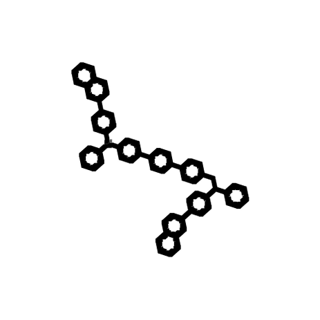 c1ccc(C(Cc2ccc(-c3ccc(-c4ccc(N(c5ccccc5)c5ccc(-c6ccc7ccccc7c6)cc5)cc4)cc3)cc2)c2ccc(-c3ccc4ccccc4c3)cc2)cc1